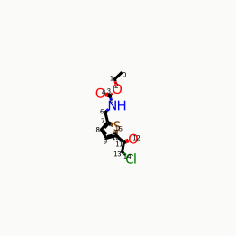 CCOC(=O)NCc1ccc(C(=O)CCl)s1